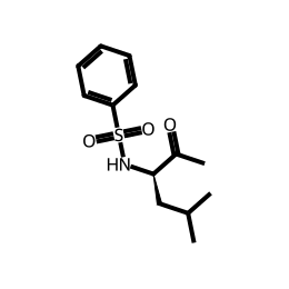 CC(=O)[C@@H](CC(C)C)NS(=O)(=O)c1ccccc1